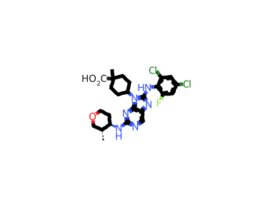 C[C@@H]1COCC[C@H]1Nc1ncc2nc(Nc3c(F)cc(Cl)cc3Cl)n(C3CCC(C)(C(=O)O)CC3)c2n1